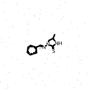 CC1CN(/N=C/c2ccccc2)C(=S)N1